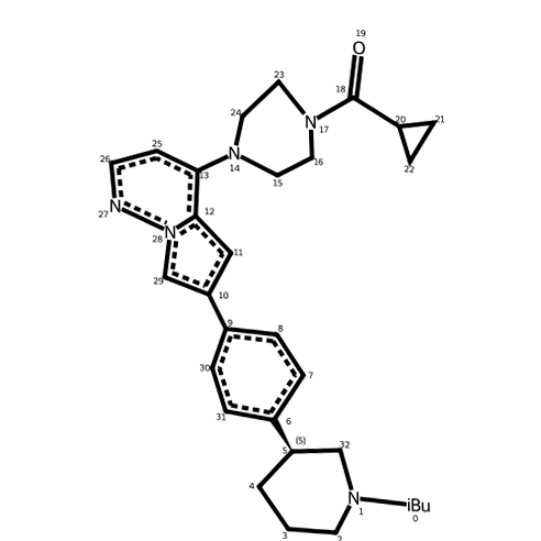 CCC(C)N1CCC[C@@H](c2ccc(-c3cc4c(N5CCN(C(=O)C6CC6)CC5)ccnn4c3)cc2)C1